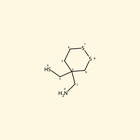 NCC1(CS)CCSSC1